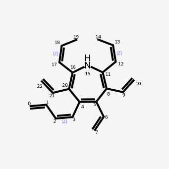 C=C/C=C\C1=C(C=C)C(C=C)=C(/C=C\C)NC(/C=C\C)=C1C=C